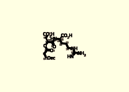 CCCCCCCCCCCC(=O)O[C@@H](CC(=O)O)C(=O)N[C@@H](CCCNC(=N)N)C(=O)O